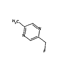 Cc1cnc(CF)cn1